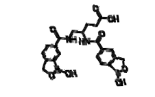 O=C(O)CCC(CNC(=O)c1ccc2c(c1)B(O)OC2)NC(=O)c1ccc2c(c1)COB2O